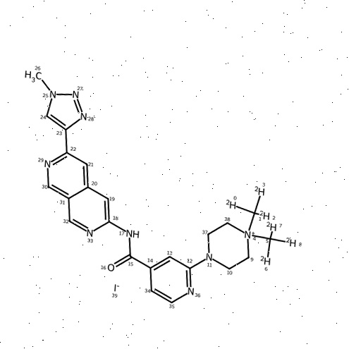 [2H]C([2H])([2H])[N+]1(C([2H])([2H])[2H])CCN(c2cc(C(=O)Nc3cc4cc(-c5cn(C)nn5)ncc4cn3)ccn2)CC1.[I-]